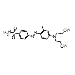 Cc1cc(N(CCO)CCO)ccc1N=Nc1ccc(S(N)(=O)=O)cc1